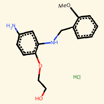 COc1ccccc1CNc1cc(N)ccc1OCCO.Cl